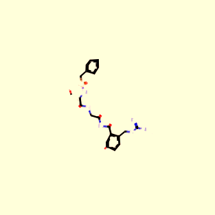 N=C(N)N[CH]c1ccc(O)cc1C(=O)NC(=O)CNC(=O)[C@H](CO)NS(=O)(=O)Cc1ccccc1